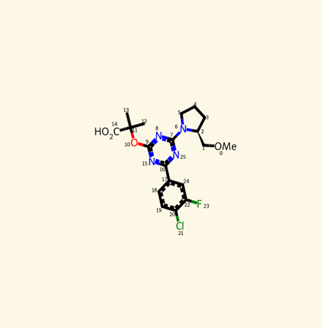 COC[C@@H]1CCCN1c1nc(OC(C)(C)C(=O)O)nc(-c2ccc(Cl)c(F)c2)n1